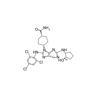 NC(=O)[C@H]1CC[C@@H](n2c(Nc3c(Cl)cc(Cl)cc3Cl)nc3cnc(NC4CCC[C@H]4O)nc32)CC1